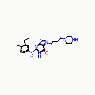 CCc1cc(Nc2nc3ncn(CCCCN4CCNCC4)c3c(=O)[nH]2)ccc1C